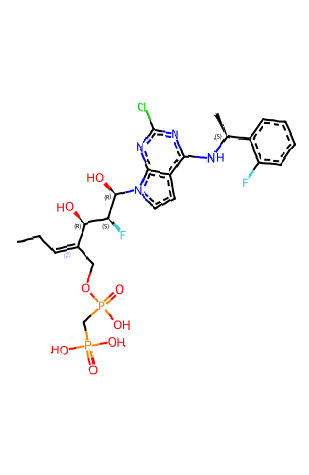 CC/C=C(/COP(=O)(O)CP(=O)(O)O)[C@@H](O)[C@H](F)[C@@H](O)n1ccc2c(N[C@@H](C)c3ccccc3F)nc(Cl)nc21